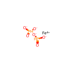 O=[PH]([O-])[O-].O=[PH]([O-])[O-].[Fe+4]